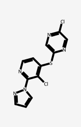 Clc1cnc(Sc2ccnc(-n3cccn3)c2Cl)cn1